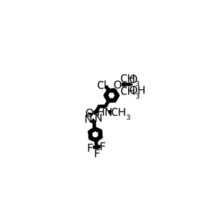 CNC(Cc1nc(-c2ccc(C(F)(F)F)cc2)no1)c1ccc(OC(C)(C)C(=O)O)c(Cl)c1